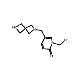 O=c1ccc(CN2CC3(CNC3)C2)cn1CC(F)(F)F